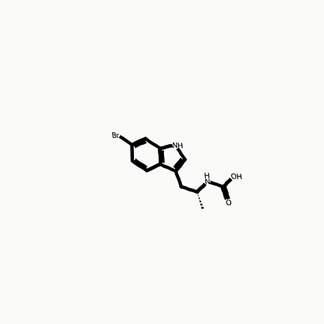 C[C@H](Cc1c[nH]c2cc(Br)ccc12)NC(=O)O